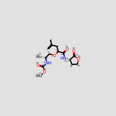 C=C(C)CC(OCC(NC(=O)OC(C)(C)C)[C@@H](C)CC)C(=O)N[C@H]1CCOC1=O